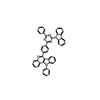 c1ccc(-c2nc(-c3ccc(-c4nc5ccccc5c5c4c4ccccc4n5-c4ccccc4)cc3)nc(-n3c4ccccc4c4ccccc43)n2)cc1